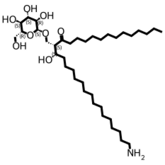 CCCCCCCCCCCCCC(=O)[C@@H](CO[C@H]1O[C@H](CO)[C@@H](O)[C@H](O)[C@H]1O)[C@@H](O)CCCCCCCCCCCCCCCN